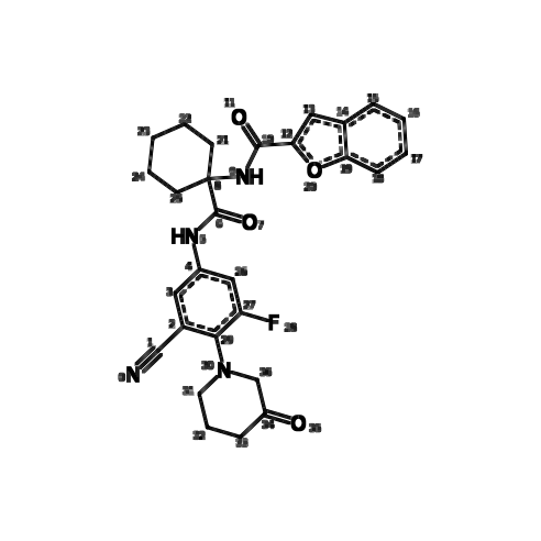 N#Cc1cc(NC(=O)C2(NC(=O)c3cc4ccccc4o3)CCCCC2)cc(F)c1N1CCCC(=O)C1